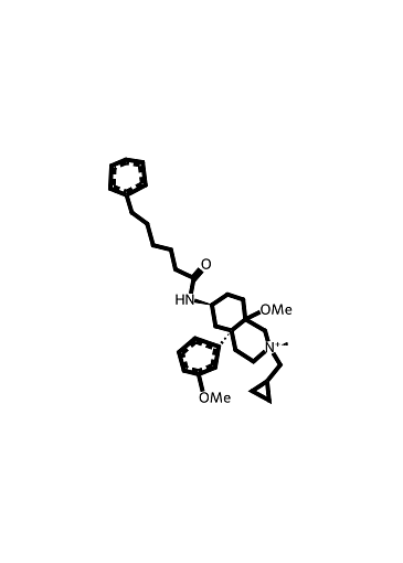 COc1cccc([C@@]23CC[N@+](C)(CC4CC4)CC2(OC)CC[C@H](NC(=O)CCCCCc2ccccc2)C3)c1